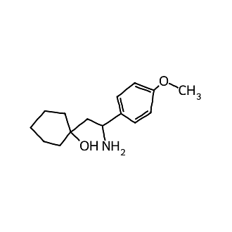 COc1ccc(C(N)CC2(O)CCCCC2)cc1